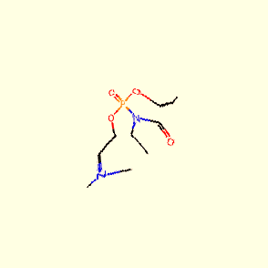 CCOP(=O)(OCCN(C)C)N(C=O)CC